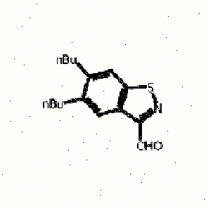 CCCCc1cc2snc(C=O)c2cc1CCCC